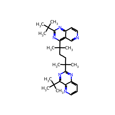 CC(C)(C)c1nc(C(C)(C)CCC(C)(C)c2nc(C(C)(C)C)c3ncccc3n2)c2cnccc2n1